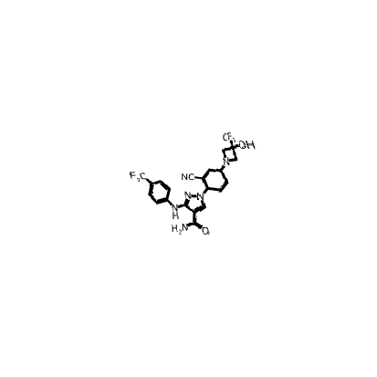 N#CC1CC(N2CC(O)(C(F)(F)F)C2)CCC1n1cc(C(N)=O)c(Nc2ccc(C(F)(F)F)cc2)n1